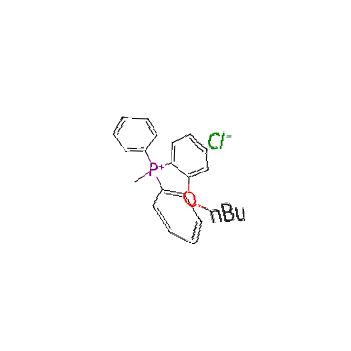 CCCCOc1ccccc1[P+](C)(c1ccccc1)c1ccccc1.[Cl-]